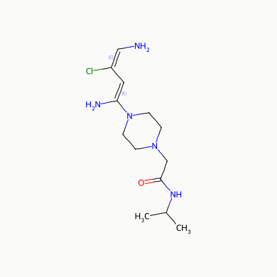 CC(C)NC(=O)CN1CCN(/C(N)=C/C(Cl)=C\N)CC1